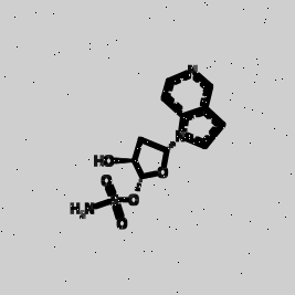 NS(=O)(=O)O[C@H]1O[C@@H](n2ccc3cnccc32)C[C@@H]1O